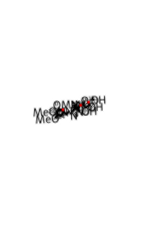 COc1cc(CNc2ncnc3c2ncn3[C@@H]2O[C@H](CO)[C@@H](O)[C@@H]2O)cc(OC)c1OC